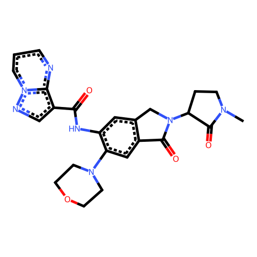 CN1CCC(N2Cc3cc(NC(=O)c4cnn5cccnc45)c(N4CCOCC4)cc3C2=O)C1=O